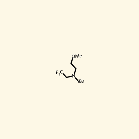 CCC(C)N(CCOC)CC(F)(F)F